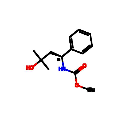 CC(C)(O)C[C@H](NC(=O)OC(C)(C)C)c1ccccc1